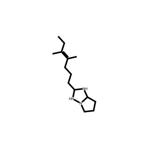 CC/C(C)=C(\C)CCCC1NC2CCCN2N1